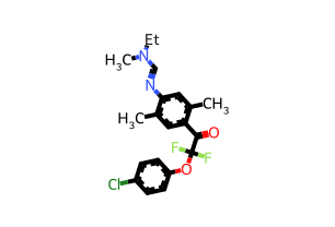 CCN(C)C=Nc1cc(C)c(C(=O)C(F)(F)Oc2ccc(Cl)cc2)cc1C